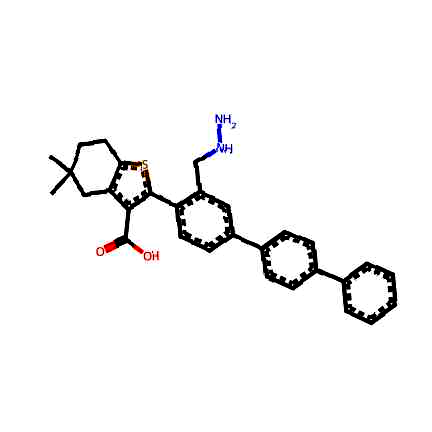 CC1(C)CCc2sc(-c3ccc(-c4ccc(-c5ccccc5)cc4)cc3CNN)c(C(=O)O)c2C1